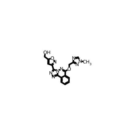 Cn1cnc(COc2nn3c(-c4cc(CO)on4)nnc3c3ccccc23)n1